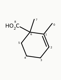 CC1=CCCCC1(C)C(=O)O